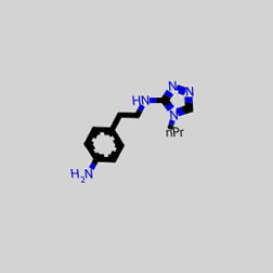 CCCn1cnnc1NCCc1ccc(N)cc1